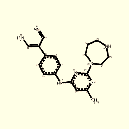 Cc1cc(Nc2ccc(/C(C=N)=C/N)cc2)nc(N2CCCNCC2)n1